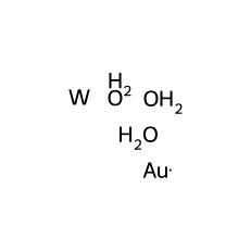 O.O.O.[Au].[W]